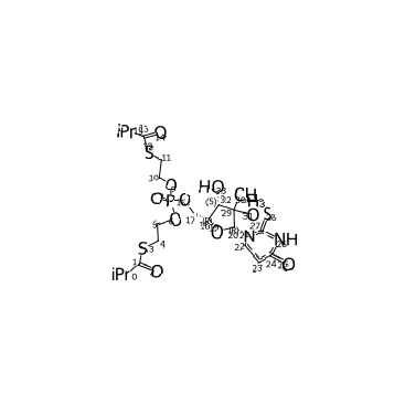 CC(C)C(=O)SCCOP(=O)(OCCSC(=O)C(C)C)OC[C@H]1O[C@@H](n2ccc(=O)[nH]c2=S)C(C)(O)[C@H]1O